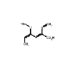 C=N/C(=C\C(=C/C)OCCCC)C(=O)O